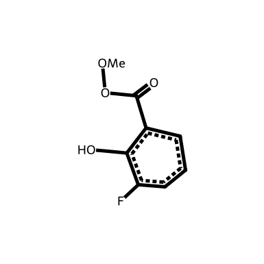 COOC(=O)c1cccc(F)c1O